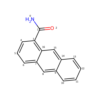 NC(=O)c1c[c]cc2cc3ccccc3cc12